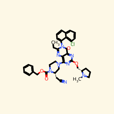 CCc1nc2c(N3CCN(C(=O)OCc4ccccc4)[C@@H](CC#N)C3)nc(OC[C@@H]3CCCN3C)nc2c(=O)n1-c1cccc2cccc(Cl)c12